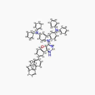 CC12C=C3CC=CC(=C31)c1ccc(-c3ccc4oc5c(c4c3)NCN=C5n3c4ccc(N(c5ccccc5)c5ccccc5)cc4c4cc(N(c5ccccc5)c5ccccc5)ccc43)cc12